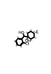 OC(c1ccccc1Cl)[C@]1(O)CC[C@H](F)CC1